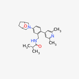 Cc1cc(-c2ccc(N3CC4CCC(C3)O4)cc2CNC(=O)C(C)C)cc(C)n1